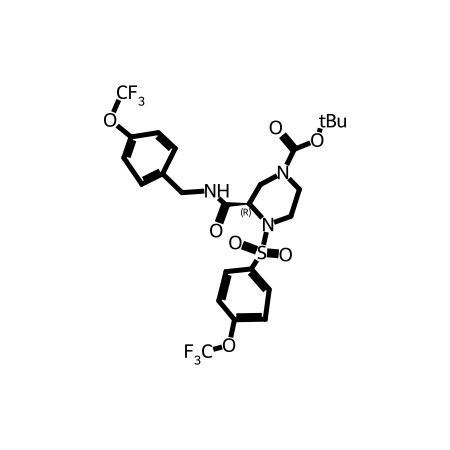 CC(C)(C)OC(=O)N1CCN(S(=O)(=O)c2ccc(OC(F)(F)F)cc2)[C@@H](C(=O)NCc2ccc(OC(F)(F)F)cc2)C1